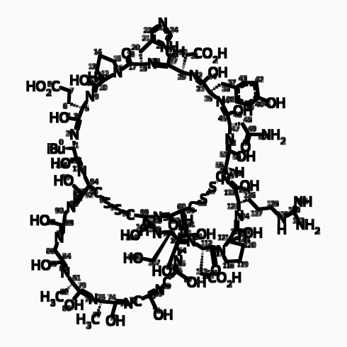 CC[C@H](C)[C@@H]1N=C(O)[C@H](CCC(=O)O)N=C(O)[C@@H]2CCCN2C(=O)[C@H](Cc2cnc[nH]2)N=C(O)[C@H](CC(=O)O)N=C(O)[C@H](Cc2ccc(O)cc2)N=C(O)[C@H](CC(N)=O)N=C(O)[C@@H]2CSSC[C@@H]3N=C(O)CN=C(O)CN=C(O)CN=C(O)[C@H](C)N=C(O)[C@H](C)N=C(O)CN=C(O)CN=C(O)[C@H](CSSC[C@H](N=C3O)C(O)=N[C@@H](CO)C(O)=N[C@@H](CC(=O)O)C(=O)N3CCC[C@H]3C(O)=N[C@@H](CCCNC(=N)N)C(O)=N2)N=C1O